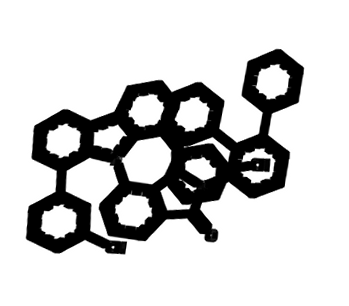 N#Cc1cccc(-c2cccc3c4cccc(-c5cccc(C#N)c5)c4n(-c4cccc5c4C(=O)N(c4cccc(-c6ccccc6)c4-c4ccccc4)C5=O)c23)c1